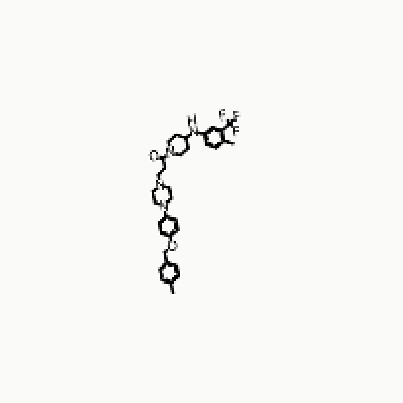 Cc1ccc(COc2ccc(N3CCN(CCC(=O)N4CCC(Nc5ccc(C)c(C(F)(F)F)c5)CC4)CC3)cc2)cc1